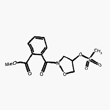 COC(=O)c1ccccc1C(=O)N1CC(OS(C)(=O)=O)CO1